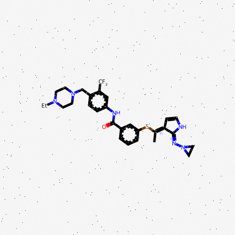 CCN1CCN(Cc2ccc(NC(=O)c3cccc(S/C(C)=C4\C=CN\C4=N/N4CC4)c3)cc2C(F)(F)F)CC1